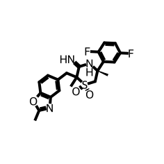 Cc1nc2cc(CC3(C)C(=N)N[C@](C)(c4cc(F)ccc4F)CS3(=O)=O)ccc2o1